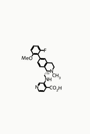 COc1cccc(F)c1-c1ccc2c(c1)CCN(C)[C@@H]2CNc1cnccc1C(=O)O